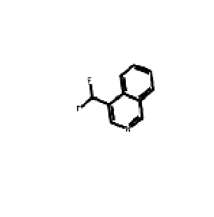 FC(F)c1cncc2ccccc12